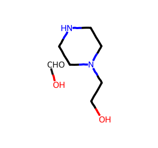 O=CO.OCCN1CCNCC1